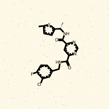 Cc1ccc([C@H](C)NC(=O)c2cc(C(=O)NCc3ccc(F)c(Cl)c3)ncn2)s1